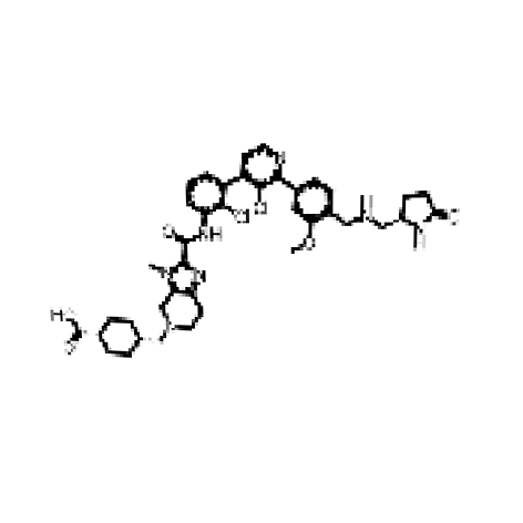 COc1cc(-c2nccc(-c3cccc(NC(=O)c4nc5c(n4C)CN(C[C@H]4CC[C@@H](C(=O)O)CC4)CC5)c3Cl)c2Cl)ccc1CNC[C@H]1CCC(=O)N1